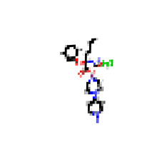 CCCCC(NC=O)(OC1CCCCC1)C(=O)ON1CCN(C2CCNCC2)CC1.Cl.Cl